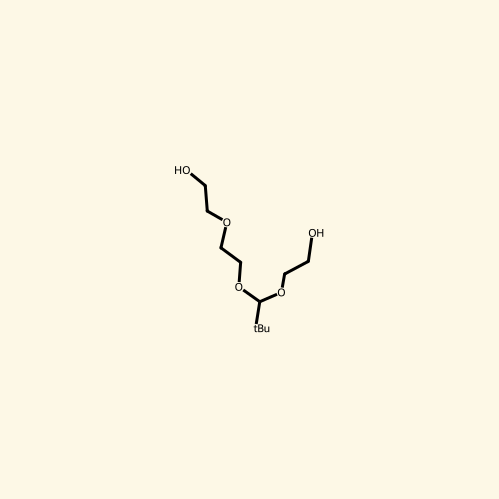 CC(C)(C)C(OCCO)OCCOCCO